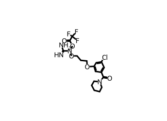 N=C(N)N(OCCCOc1cc(Cl)cc(C(=O)N2CCCCC2)c1)OC(=O)C(F)(F)F